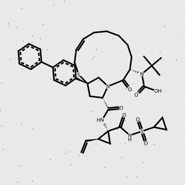 C=C[C@@H]1C[C@]1(NC(=O)[C@@H]1C[C@@]2(c3ccc(-c4ccccc4)cc3)CN1C(=O)[C@@H](N(C(=O)O)C(C)(C)C)CCCCCC=CCS2)C(=O)NS(=O)(=O)C1CC1